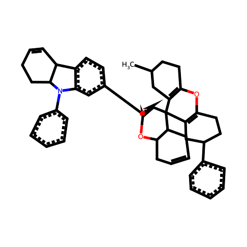 CC1CCC2=C(C1)C1(C3=C(CCC(c4ccccc4)C3)O2)C2=C(CC(c3ccc4c(c3)N(c3ccccc3)C3CCC=CC43)CC2)OC2CC=CCC21